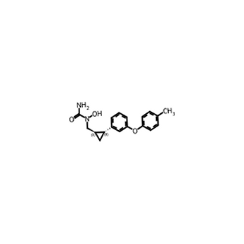 Cc1ccc(Oc2cccc([C@@H]3C[C@H]3CN(O)C(N)=O)c2)cc1